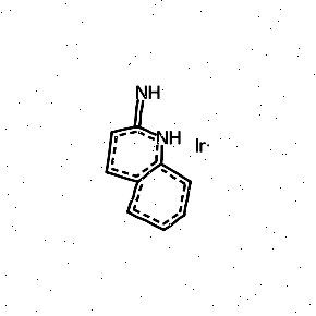 N=c1ccc2ccccc2[nH]1.[Ir]